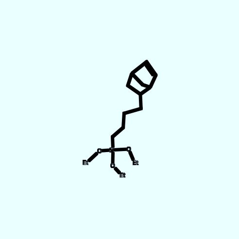 CCO[Si](CCCCC1CC2C=CC1C2)(OCC)OCC